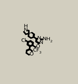 Nc1nc(O[C@H](c2ccc(Cl)cc2C2=CCCOC2)C(F)(F)F)cc(C2=CC[C@]3(CCNC3)CC2)n1